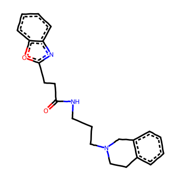 O=C(CCc1nc2ccccc2o1)NCCCN1CCc2ccccc2C1